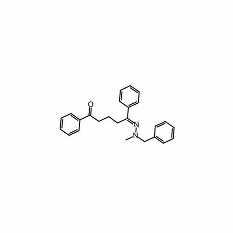 CN(Cc1ccccc1)/N=C(\CCCC(=O)c1ccccc1)c1ccccc1